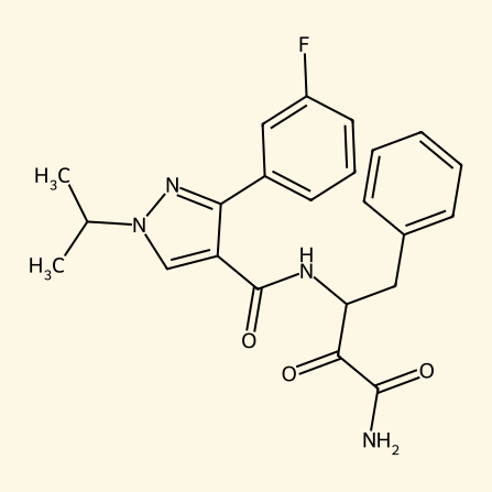 CC(C)n1cc(C(=O)NC(Cc2ccccc2)C(=O)C(N)=O)c(-c2cccc(F)c2)n1